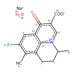 CC1CCc2c(C#N)c(F)cc3c(=O)c(C(=O)[O-])cn1c23.O.[Na+]